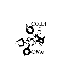 CCOC(=O)c1cc(-n2c(=O)c3c(C)csc3n(C[C@H](OC3CCOCC3)c3ccccc3OC)c2=O)ccn1